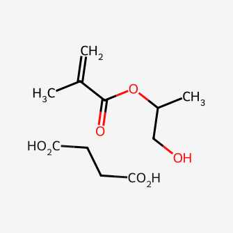 C=C(C)C(=O)OC(C)CO.O=C(O)CCC(=O)O